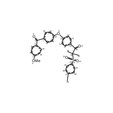 COc1ccc(C(=O)c2ccc(Oc3ccc(C(=O)C(C)(C)S(=O)(=O)c4ccc(C)cc4)cc3)cc2)cc1